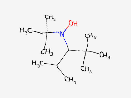 CC(C)C(N(O)C(C)(C)C)C(C)(C)C